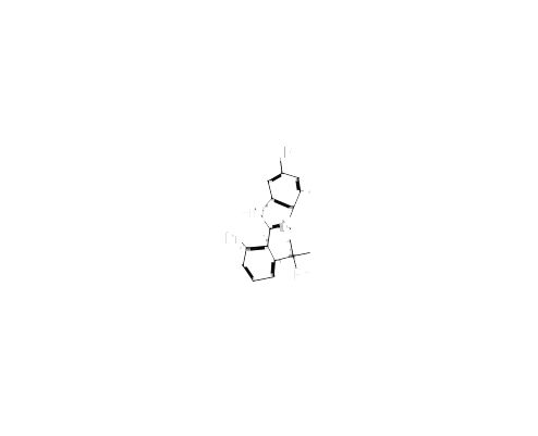 CCC(C)(C)c1cccc(C(C)C)c1-c1nc2ccc(C(C)(C)C)cc2[nH]1